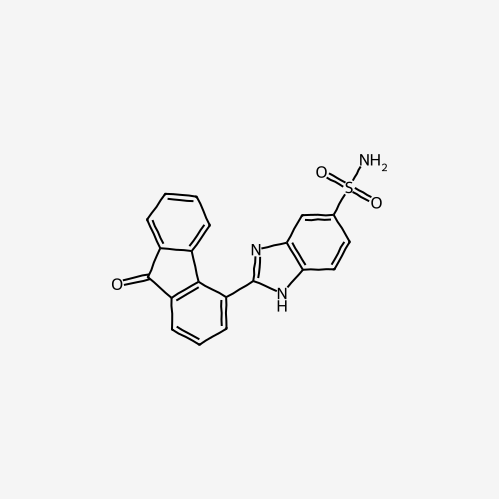 NS(=O)(=O)c1ccc2[nH]c(-c3cccc4c3-c3ccccc3C4=O)nc2c1